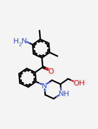 Cc1cc(C)c(C(=O)c2ccccc2N2CCNC(CO)C2)cc1N